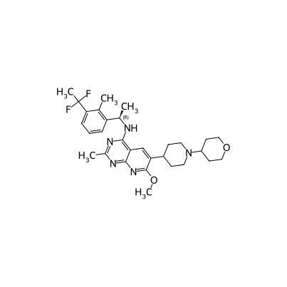 COc1nc2nc(C)nc(N[C@H](C)c3cccc(C(C)(F)F)c3C)c2cc1C1CCN(C2CCOCC2)CC1